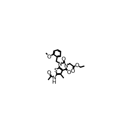 CCOC(=O)Cn1c(=O)c2c(C)c(NC(C)=O)sc2n(Cc2ccccc2OC)c1=O